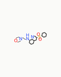 O=S(=O)(c1ccccc1)c1cnc2c(NCCN3CCOCC3)cccc2c1